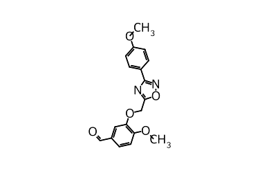 COc1ccc(-c2noc(COc3cc(C=O)ccc3OC)n2)cc1